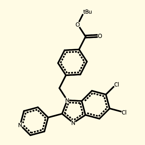 CC(C)(C)OC(=O)c1ccc(Cn2c(-c3ccncc3)nc3cc(Cl)c(Cl)cc32)cc1